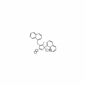 CC1=C(Cc2cccc3ccccc23)C=C[C]1([Cr+2])c1cccc2cccnc12.[Cl-].[Cl-]